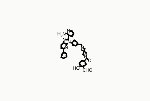 Nc1ncccc1-c1nc2ccc(-c3ccccc3)nc2n1-c1ccc(CN2CC3(C2)CN(C(=O)c2ccc(O)c(C=O)c2)C3)cc1